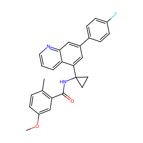 COc1ccc(C)c(C(=O)NC2(c3cc(-c4ccc(F)cc4)cc4ncccc34)CC2)c1